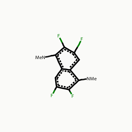 CNc1c(F)c(F)cc2c(NC)c(F)c(F)cc12